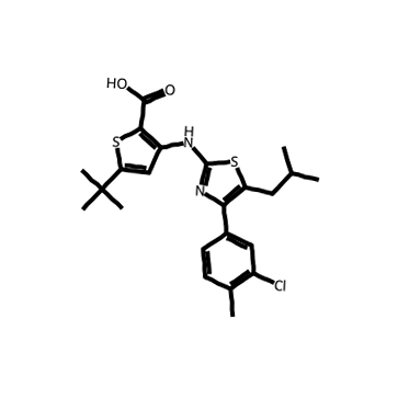 Cc1ccc(-c2nc(Nc3cc(C(C)(C)C)sc3C(=O)O)sc2CC(C)C)cc1Cl